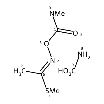 CNC(=O)O/N=C(\C)SC.NC(=O)O